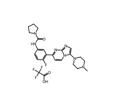 CN1CCN(c2cnc3nc(-c4cc(NC(=O)N5CCCC5)ccc4F)ccn23)CC1.O=C(O)C(F)(F)F